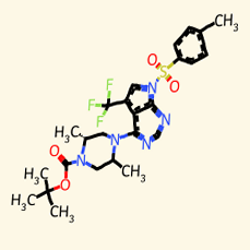 Cc1ccc(S(=O)(=O)n2cc(C(F)(F)F)c3c(N4C[C@@H](C)N(C(=O)OC(C)(C)C)CC4C)ncnc32)cc1